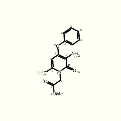 COC(=O)Cn1c(C)cc(Oc2ccccc2)c(N)c1=O